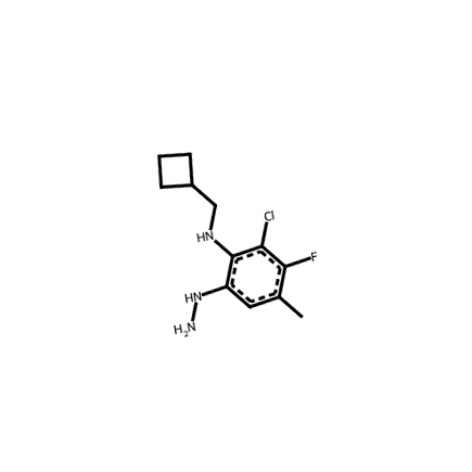 Cc1cc(NN)c(NCC2CCC2)c(Cl)c1F